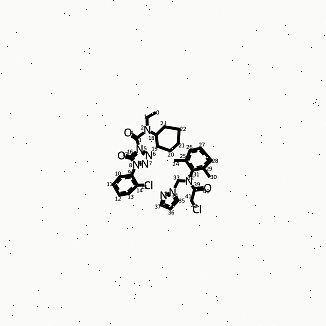 CCN(C(=O)n1nnn(-c2ccccc2Cl)c1=O)C1CCCCC1.Cc1cccc(C)c1N(Cn1cccn1)C(=O)CCl